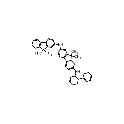 CC1(C)C2=C(C=CCC2)c2ccc(Nc3ccc4c(c3)C(C)(C)C3CC(NC5C=CCCC5C5=CC=CCC5)=CC=C43)cc21